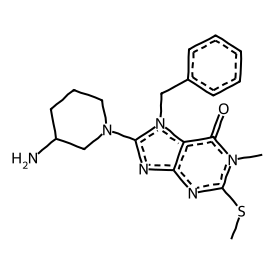 CSc1nc2nc(N3CCCC(N)C3)n(Cc3ccccc3)c2c(=O)n1C